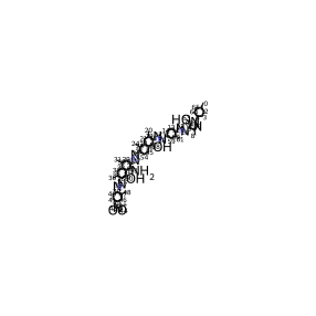 Cc1ccc(-n2nc(C)c(/N=N/c3ccc(/N=N/c4c(C)cc5c(C)c(/N=N/c6cc(C)c7cc(C)c(/N=N/c8ccc([N+](=O)[O-])cc8C)c(O)c7c6N)ccc5c4O)cc3C)c2O)cc1